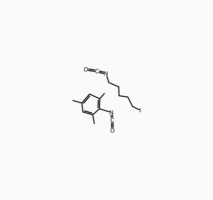 Cc1cc(C)c(N=C=O)c(C)c1.O=C=NCCCCCI